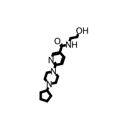 O=C(NCCO)c1ccc(N2CCN(C3CCCC3)CC2)nc1